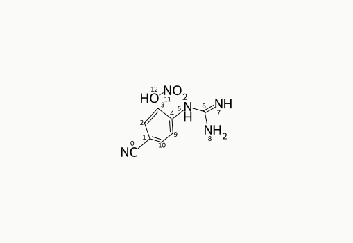 N#Cc1ccc(NC(=N)N)cc1.O=[N+]([O-])O